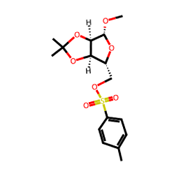 CO[C@@H]1O[C@H](COS(=O)(=O)c2ccc(C)cc2)[C@H]2OC(C)(C)O[C@@H]12